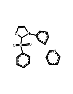 O=S(=O)(c1ccccc1)C1OC=CN1c1ccccc1.c1ccncc1